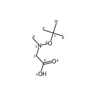 CN(CC(=O)O)OC(C)(C)C